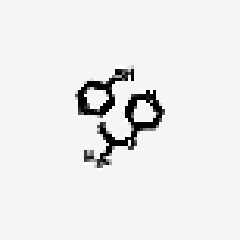 CC(=S)Oc1ccncc1.Sc1ccncc1